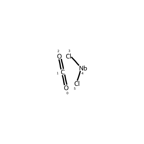 O=C=O.[Cl][Nb][Cl]